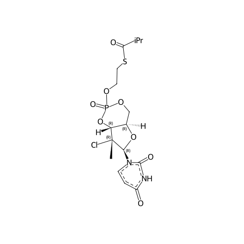 CC(C)C(=O)SCCOP1(=O)OC[C@H]2O[C@@H](n3ccc(=O)[nH]c3=O)[C@](C)(Cl)[C@@H]2O1